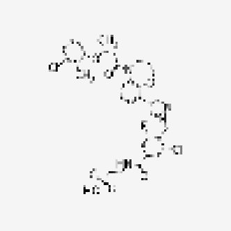 Cc1c(Cl)cccc1OC(C)CC(=O)N1CCCOc2c(-c3cnn(Cc4c(F)cc(C(=O)NCCS(=O)(=O)O)cc4Cl)c3)cccc21